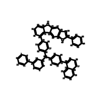 c1ccc(-c2cccc(N(c3ccc(-c4cccc5ccccc45)cc3)c3ccc(-c4cccc5oc6cc7nc(-c8ccccc8)oc7cc6c45)cc3)c2)cc1